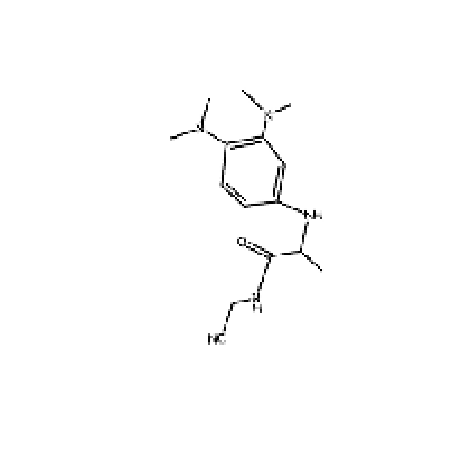 CC(Nc1ccc(N(C)C)c(N(C)C)c1)C(=O)NCC#N